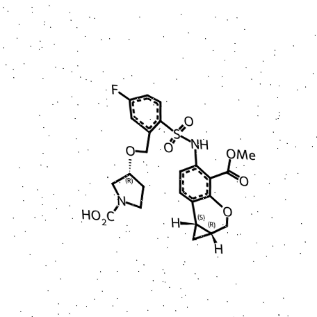 COC(=O)c1c(NS(=O)(=O)c2ccc(F)cc2CO[C@@H]2CCN(C(=O)O)C2)ccc2c1OC[C@@H]1C[C@H]21